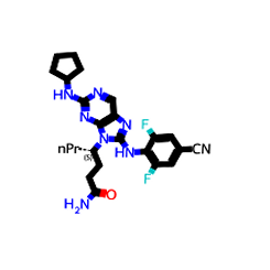 CCC[C@@H](CCC(N)=O)n1c(Nc2c(F)cc(C#N)cc2F)nc2cnc(NC3CCCC3)nc21